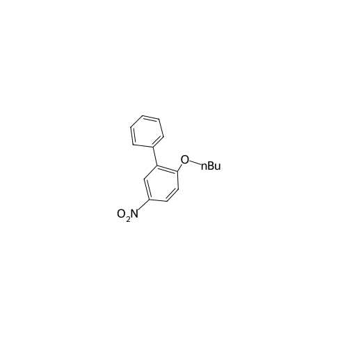 CCCCOc1ccc([N+](=O)[O-])cc1-c1ccccc1